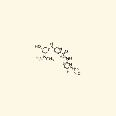 CN(C)c1cc(O)cc(Nc2ccc(C(=O)NNc3ncc(F)c(N4CCOCC4)n3)nc2)c1